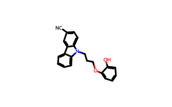 N#Cc1ccc2c(c1)c1ccccc1n2CCCOc1ccccc1O